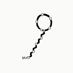 COCCOCCOCCOCCN1COCCOCCOCCOCCO1